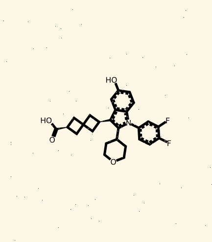 O=C(O)[C@H]1CC2(C1)C[C@H](c1c(C3CCOCC3)n(-c3ccc(F)c(F)c3)c3ccc(O)cc31)C2